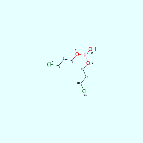 OB(OCCCCl)OCCCCl